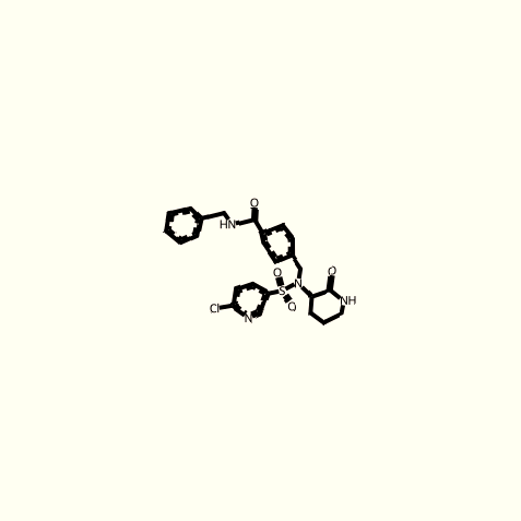 O=C(NCc1ccccc1)c1ccc(CN(C2CCCNC2=O)S(=O)(=O)c2ccc(Cl)nc2)cc1